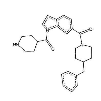 O=C(c1ccc2ccn(C(=O)C3CCNCC3)c2c1)N1CCC(Cc2ccccc2)CC1